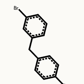 Fc1ccc(Cc2cccc(Br)c2)cc1